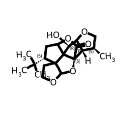 C[C@@H]1COC2[C@H]1[C@@]13OC4OCCC45[C@H](C(C)(C)C)CC(OC1=O)C53[C@H]2O